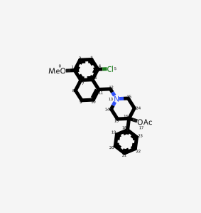 COc1ccc(Cl)c2c1CCC=C2CN1CCC(OC(C)=O)(c2ccccc2)CC1